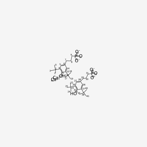 CC(C)(C)c1cc(CCCP(=O)([O-])[O-])cc(C(C)(C)C)c1O.CC(C)(C)c1cc(CCCP(=O)([O-])[O-])cc(C(C)(C)C)c1O.[Ca+2].[Ca+2]